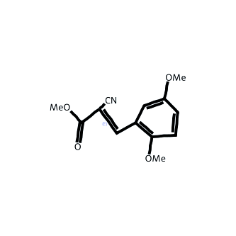 COC(=O)/C(C#N)=C/c1cc(OC)ccc1OC